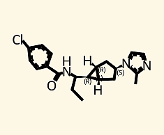 CCC(NC(=O)c1ccc(Cl)cc1)[C@H]1[C@@H]2C[C@@H](n3ccnc3C)C[C@@H]21